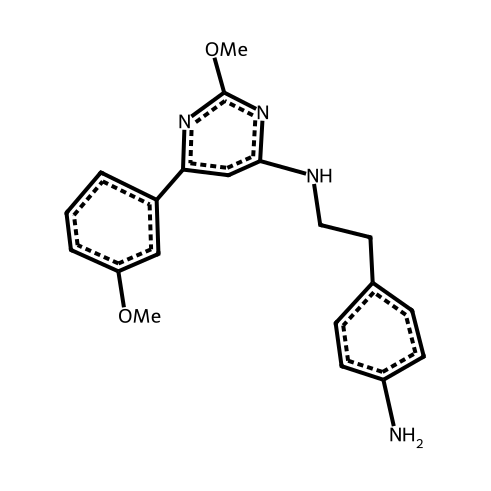 COc1cccc(-c2cc(NCCc3ccc(N)cc3)nc(OC)n2)c1